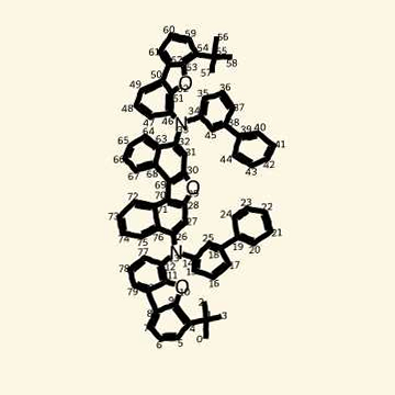 CC(C)(C)c1cccc2c1oc1c(N(c3cccc(-c4ccccc4)c3)c3cc4oc5cc(N(c6cccc(-c7ccccc7)c6)c6cccc7c6oc6c(C(C)(C)C)cccc67)c6ccccc6c5c4c4ccccc34)cccc12